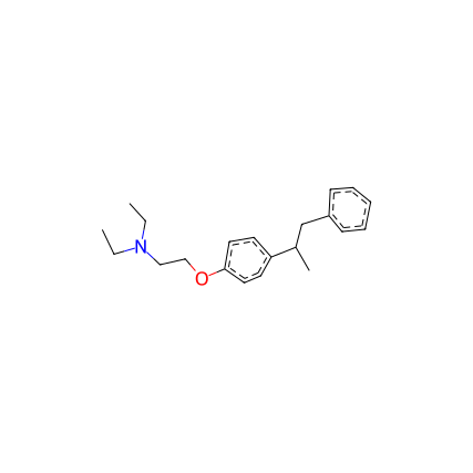 CCN(CC)CCOc1ccc(C(C)Cc2ccccc2)cc1